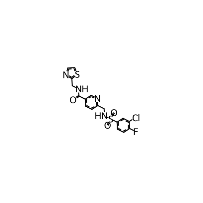 O=C(NCc1nccs1)c1ccc(CNS(=O)(=O)c2ccc(F)c(Cl)c2)nc1